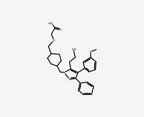 COc1cccc(-c2c(-c3ccccc3)nn(CC3CCC(COCC(=O)O)CC3)c2CCO)c1